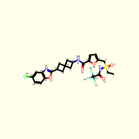 CCS(=O)(Cc1ccc(C(=O)NC2CC3(C2)CC(c2nc4cc(Cl)ccc4o2)C3)o1)=NC(=O)C(F)(F)F